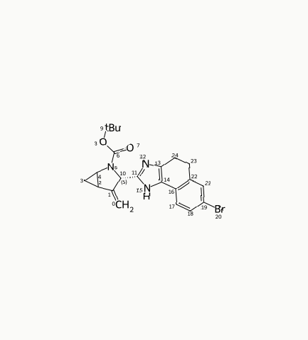 C=C1C2CC2N(C(=O)OC(C)(C)C)[C@@H]1c1nc2c([nH]1)-c1ccc(Br)cc1CC2